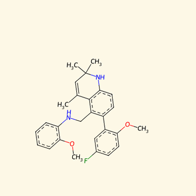 COc1ccccc1NCc1c(-c2cc(F)ccc2OC)ccc2c1C(C)=CC(C)(C)N2